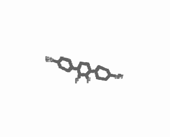 CCCC1CCC(C2CCC(C3CCC(CC)CC3)C(F)C2F)CC1